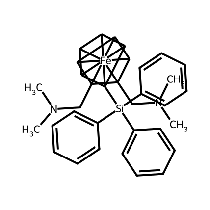 CN(C)C[C]12[CH]3[CH]4[CH]5[C]1(CN(C)C)[Fe]43521678[CH]2[CH]1[CH]6[C]7([Si](c1ccccc1)(c1ccccc1)c1ccccc1)[CH]28